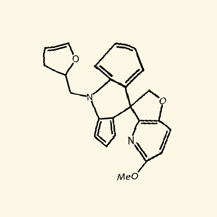 COc1ccc2c(n1)C1(CO2)c2ccccc2N(CC2CC=CO2)c2ccccc21